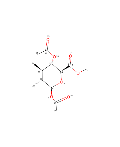 COC(=O)[C@H]1O[C@@H](OC(C)=O)[C@H](C)[C@@H](C)[C@@H]1OC(C)=O